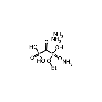 CCOP(=O)(O)C(=O)P(=O)(O)O.N.N.N